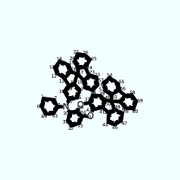 c1ccc(N(c2ccc3c(c2)-c2ccccc2C32c3ccccc3-c3ccccc32)c2cccc3c2Oc2ccc4c(c2O3)-c2ccccc2C42c3ccccc3-c3ccccc32)cc1